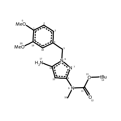 COc1ccc(Cn2nc(N(C)C(=O)OC(C)(C)C)cc2N)cc1OC